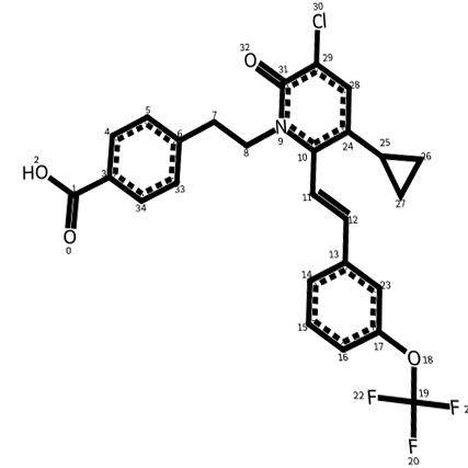 O=C(O)c1ccc(CCn2c(C=Cc3cccc(OC(F)(F)F)c3)c(C3CC3)cc(Cl)c2=O)cc1